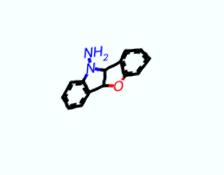 NN1c2ccccc2C2Oc3ccccc3C21